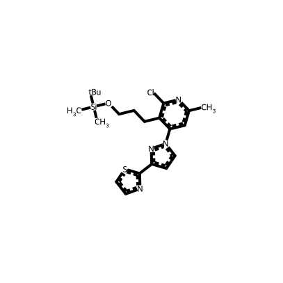 Cc1cc(-n2ccc(-c3nccs3)n2)c(CCCO[Si](C)(C)C(C)(C)C)c(Cl)n1